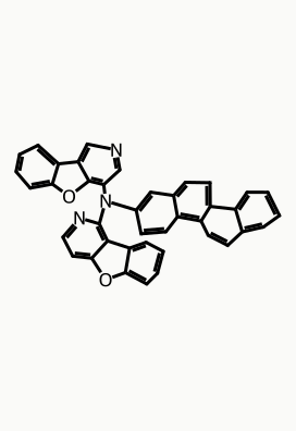 c1ccc2c(c1)ccc1c3ccc(N(c4cncc5c4oc4ccccc45)c4nccc5oc6ccccc6c45)cc3ccc21